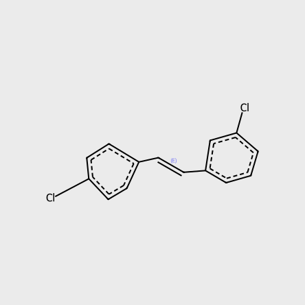 Clc1ccc(/C=C/c2cccc(Cl)c2)cc1